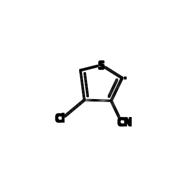 N#Cc1[c]scc1Cl